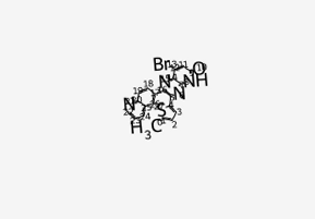 Cc1ccc(-c2nc3[nH]c(=O)cc(Br)c3nc2-c2ccc3ncccc3c2)s1